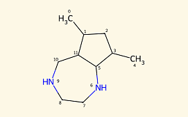 CC1CC(C)C2NCCNCC12